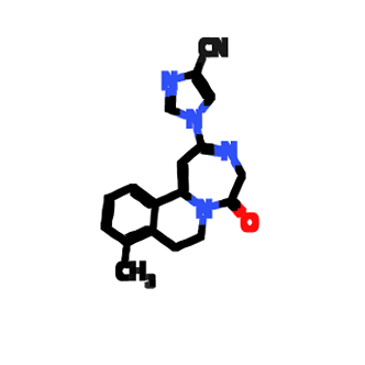 Cc1cccc2c1CCN1C(=O)CN=C(n3cnc(C#N)c3)C=C21